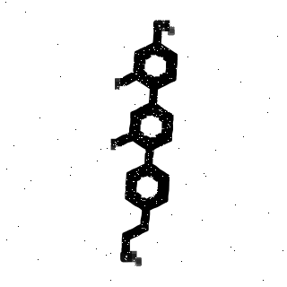 CCCc1ccc(-c2ccc(-c3ccc(C)cc3F)cc2F)cc1